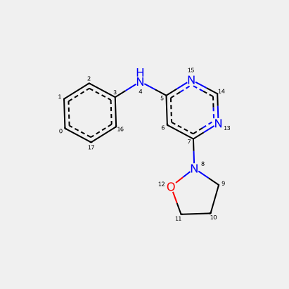 c1ccc(Nc2cc(N3CCCO3)ncn2)cc1